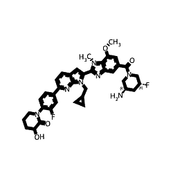 COc1cc(C(=O)N2C[C@H](N)C[C@@H](F)C2)cc2nc(-c3cc4ccc(-c5ccc(N6CCCC(O)C6=O)c(F)c5)nc4n3CC3CC3)n(C)c12